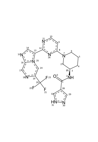 O=C(N[C@@H]1CCCN(c2ccnc(-c3cnc4cnc(C(F)(F)F)cn34)n2)C1)c1cn[nH]c1